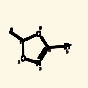 CC1ON=C(C(C)C)O1